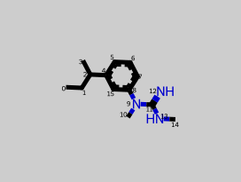 CCC(C)c1cccc(N(C)C(=N)NC)c1